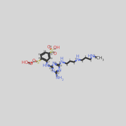 CNCCCNCCCNc1nc(N)nc(Nc2cc(S(=O)(=O)O)ccc2SOOO)n1